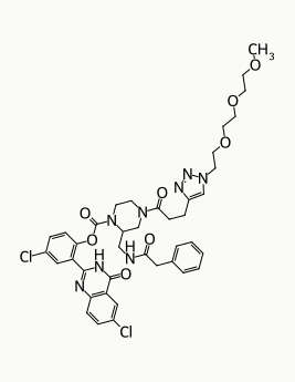 COCCOCCOCCn1cc(CCC(=O)N2CCN(C(=O)Oc3ccc(Cl)cc3-c3nc4ccc(Cl)cc4c(=O)[nH]3)C(CNC(=O)Cc3ccccc3)C2)nn1